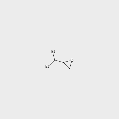 CCC(CC)C1CO1